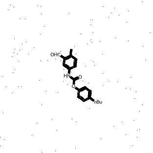 CCCCc1ccc(OC(=O)Nc2ccc(C)c(C=O)c2)cc1